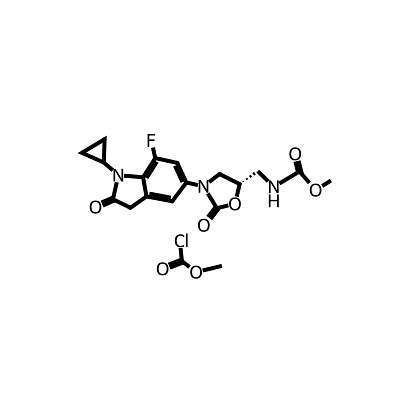 COC(=O)Cl.COC(=O)NC[C@H]1CN(c2cc(F)c3c(c2)CC(=O)N3C2CC2)C(=O)O1